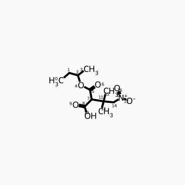 CCC(C)OC(=O)C(C(=O)O)C(C)(C)C[N+](=O)[O-]